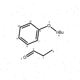 CCC=O.CCCCOc1ccccc1